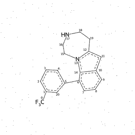 FC(F)(F)c1cccc(-c2cccc3cc4n(c23)CCNCC4)c1